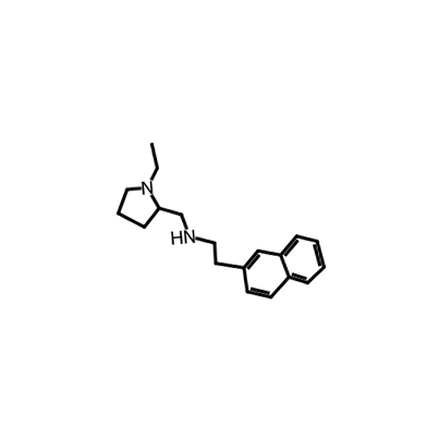 CCN1CCCC1CNCCc1ccc2ccccc2c1